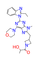 CCc1nc2ccccc2n1-c1nc(N2CCOCC2)c2nc(CC3CN(C(=O)C(C)O)C3)n(C)c2n1